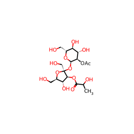 CC(=O)O[C@H]1[C@@H](O[C@]2(CO)O[C@H](CO)[C@@H](O)[C@@H]2OC(=O)C(C)O)O[C@H](CO)[C@@H](O)[C@@H]1O